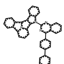 c1ccc(-c2ccc(-c3nc(-n4c5ccccc5c5c4c4cccc6c7ccccc7c5n64)nc4ccccc34)cc2)cc1